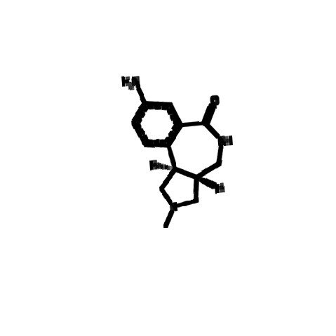 CN1C[C@H]2CNC(=O)c3cc(N)ccc3[C@@H]2C1